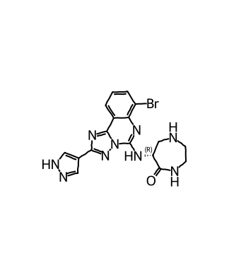 O=C1NCCNC[C@H]1Nc1nc2c(Br)cccc2c2nc(-c3cn[nH]c3)nn12